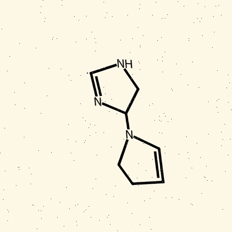 [C]1=NC(N2C=CCC2)CN1